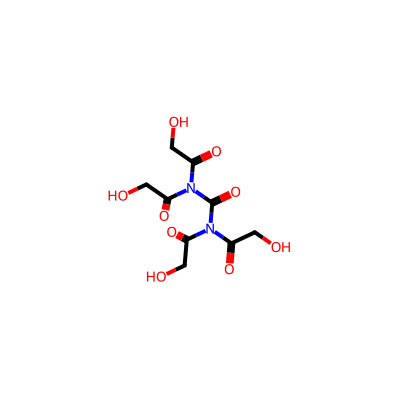 O=C(CO)N(C(=O)CO)C(=O)N(C(=O)CO)C(=O)CO